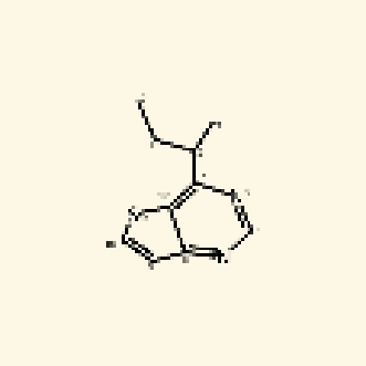 CCC(C)c1ncnc2ccsc12